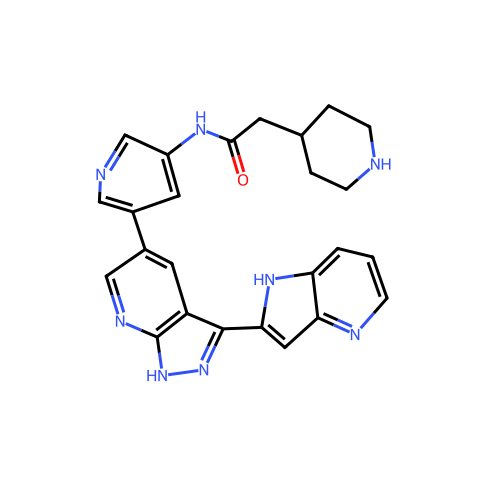 O=C(CC1CCNCC1)Nc1cncc(-c2cnc3[nH]nc(-c4cc5ncccc5[nH]4)c3c2)c1